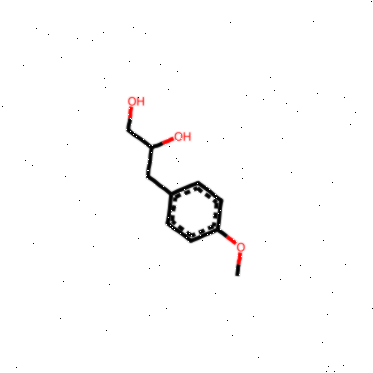 COc1ccc(CC(O)CO)cc1